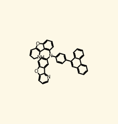 C1=Cc2oc3cccc(N(c4ccc(-c5cc6ccccc6c6ccccc56)cc4)c4ccc5oc6cccnc6c5c4)c3c2NC1